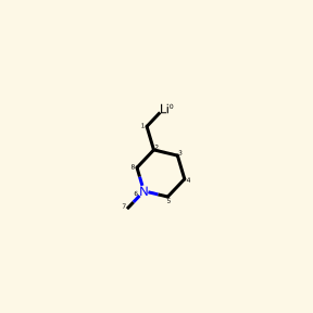 [Li][CH2]C1CCCN(C)C1